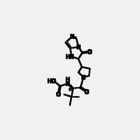 CC(C)(C)[C@@H](NC(=O)O)C(=O)N1CCC(C2Nc3cncn3C2=O)C1